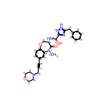 CN1C(=O)[C@@H](NC(O)c2n[nH]c(Cc3ccccc3)n2)COc2ccc(C#CCN3CCOCC3)cc21